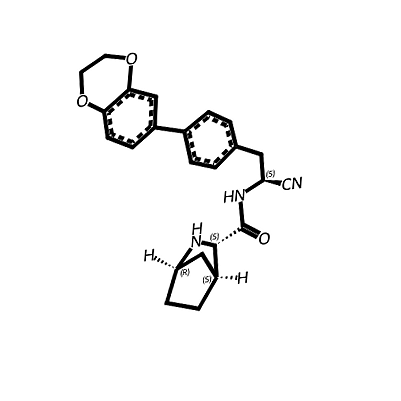 N#C[C@H](Cc1ccc(-c2ccc3c(c2)OCCO3)cc1)NC(=O)[C@H]1N[C@@H]2CC[C@H]1C2